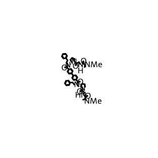 CN[C@@H](C)C(=O)NCC(=O)N1CCC[C@H]1CN(CCc1ccccc1)C(=O)c1ccc(-c2ccc(C(=O)N(CCc3ccccc3)C[C@@H]3CCCN3C(=O)CNC(=O)[C@H](C)NC)cc2)cc1